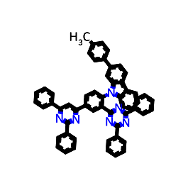 Cc1ccc(-c2ccc3c4ccccc4n(-c4ccc(-c5cc(-c6ccccc6)nc(-c6ccccc6)n5)cc4-c4nc(-c5ccccc5)nc(-c5ccccc5)n4)c3c2)cc1